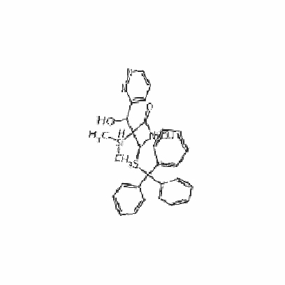 C[SiH](C)C1(C(O)c2cccnn2)C(=O)N(C(C)(C)C)C1SC(c1ccccc1)(c1ccccc1)c1ccccc1